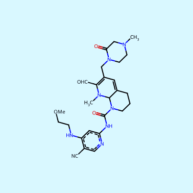 COCCNc1cc(NC(=O)N2CCCC3=CC(CN4CCN(C)CC4=O)=C(C=O)N(C)C32)ncc1C#N